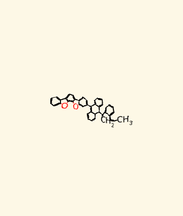 C=C(c1ccccc1/C=C\C)C1c2ccccc2C(c2ccc3c(c2)oc2c3ccc3c4ccccc4oc32)=C2C=CC=CC21